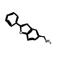 NCc1ccc2oc(-c3ccccc3)cc2c1